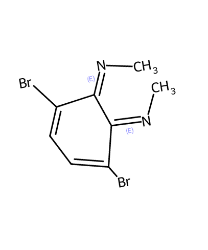 C/N=C1/C(Br)=CC=C(Br)/C1=N/C